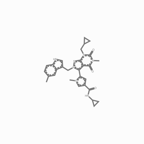 Cc1ccc2[nH]cc(Cn3nc4c(c3-c3cc(C(=O)NC5CC5)cn3C)c(=O)n(C)c(=O)n4CC3CC3)c2c1